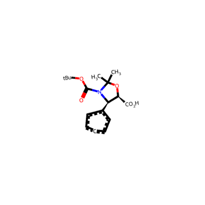 CC(C)(C)OC(=O)N1[C@H](c2ccccc2)[C@H](C(=O)O)OC1(C)C